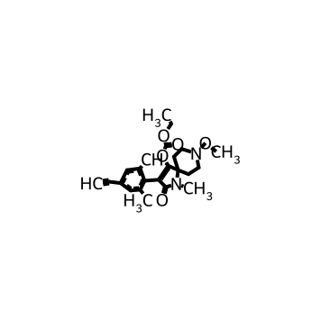 C#Cc1cc(C)c(C2=C(OC(=O)OCC)C3(CCN(OC)CC3)N(C)C2=O)c(C)c1